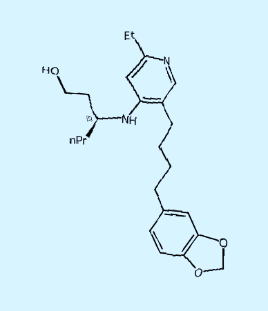 CCC[C@@H](CCO)Nc1cc(CC)ncc1CCCCc1ccc2c(c1)OCO2